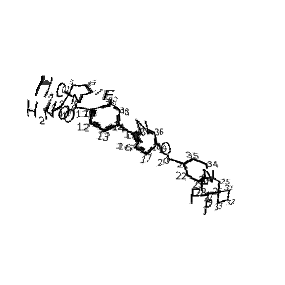 CC1(C(N)=O)CCCN1C(=O)c1ccc(-c2ccc(OCC3CCN(CC4(C(F)(F)F)CCC4)CC3)cn2)cc1F